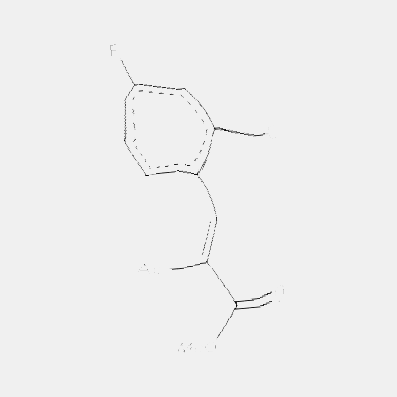 COC(=O)/C(=C/c1ccc(F)cc1Cl)C(C)=O